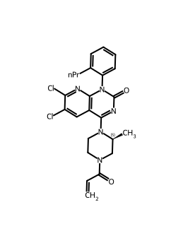 C=CC(=O)N1CCN(c2nc(=O)n(-c3ccccc3CCC)c3nc(Cl)c(Cl)cc23)[C@@H](C)C1